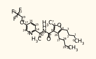 CCCCc1oc(C)c(C(=O)N[C@H](C)c2ccc(OCC(F)(F)F)cn2)c1CCCC